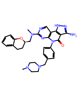 CN1CCN(Cc2ccc(-n3c(=O)c4c(N)n[nH]c4c4cnc(N(C)C[C@H]5CCc6ccccc6O5)nc43)cc2)CC1